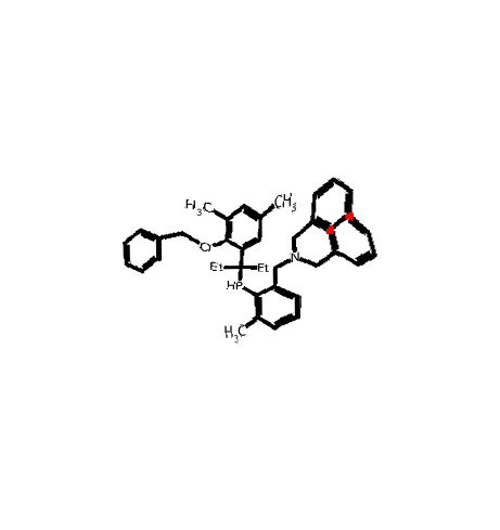 CCC(CC)(Pc1c(C)cccc1CN(Cc1ccccc1)Cc1ccccc1)c1cc(C)cc(C)c1OCc1ccccc1